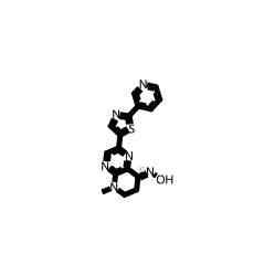 CN1CC/C(=N\O)c2nc(-c3cnc(-c4cccnc4)s3)cnc21